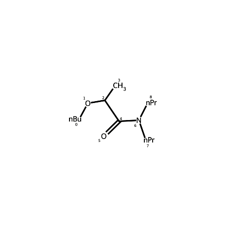 CCCCOC(C)C(=O)N(CCC)CCC